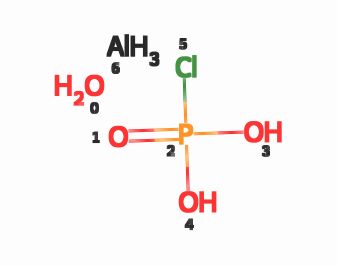 O.O=P(O)(O)Cl.[AlH3]